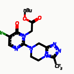 CCCCOC(=O)Cn1c(N2CCn3c(nnc3C(F)(F)F)C2)ncc(Br)c1=O